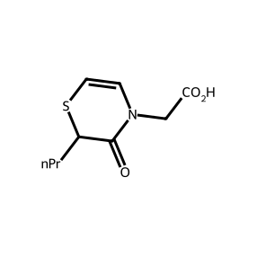 CCCC1SC=CN(CC(=O)O)C1=O